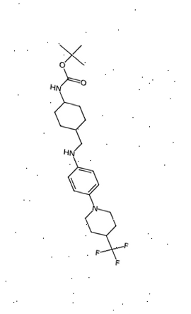 CC(C)(C)OC(=O)NC1CCC(CNc2ccc(N3CCC(C(F)(F)F)CC3)cc2)CC1